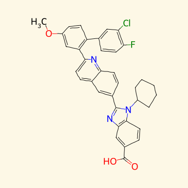 COc1ccc(-c2ccc(F)c(Cl)c2)c(-c2ccc3cc(-c4nc5cc(C(=O)O)ccc5n4C4CCCCC4)ccc3n2)c1